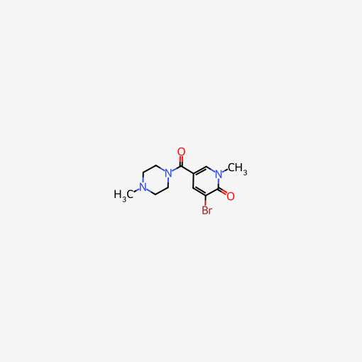 CN1CCN(C(=O)c2cc(Br)c(=O)n(C)c2)CC1